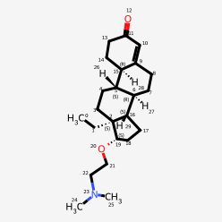 CC[C@]12CC[C@H]3[C@@H](CCC4=CC(=O)CC[C@@H]43)[C@@H]1CC[C@@H]2OCCN(C)C